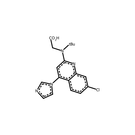 CC(C)(C)N(CC(=O)O)c1cc(-n2ccnc2)c2ccc(Cl)cc2n1